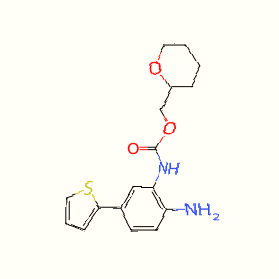 Nc1ccc(-c2cccs2)cc1NC(=O)OCC1CCCCO1